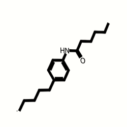 [CH2]CCCCc1ccc(NC(=O)CCCCC)cc1